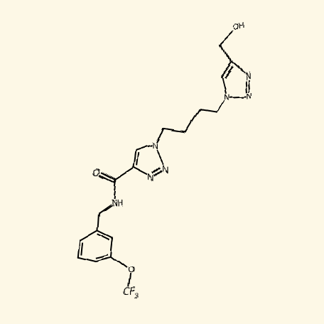 O=C(NCc1cccc(OC(F)(F)F)c1)c1cn(CCCCn2cc(CO)nn2)nn1